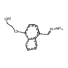 NN=Cc1ccc(OCCO)c2ccccc12